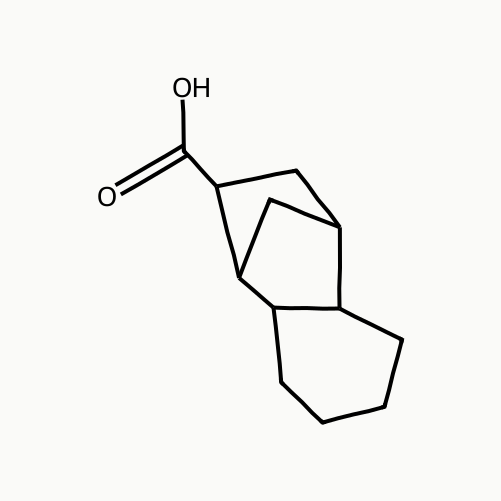 O=C(O)C1CC2CC1C1CCCCC21